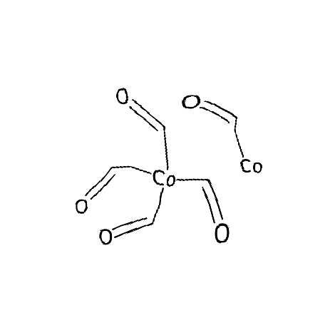 O=[CH][Co].O=[CH][Co]([CH]=O)([CH]=O)[CH]=O